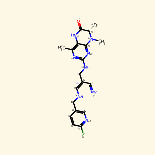 CC[C@H]1C(=O)Nc2c(C)nc(NC/C(C=N)=C/NCc3ccc(F)nc3)nc2N1C